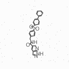 O=C(NCc1ccc(S(=O)(=O)c2ccc(-c3ccccc3)cc2)cc1)c1cnc2[nH]ncc2c1